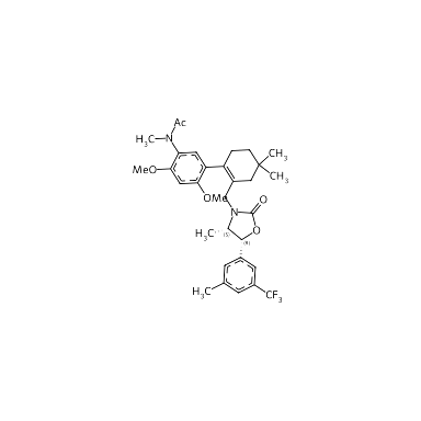 COc1cc(OC)c(N(C)C(C)=O)cc1C1=C(CN2C(=O)O[C@H](c3cc(C)cc(C(F)(F)F)c3)[C@@H]2C)CC(C)(C)CC1